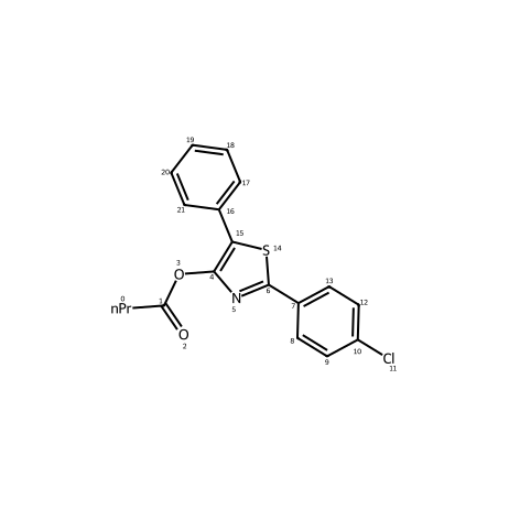 CCCC(=O)Oc1nc(-c2ccc(Cl)cc2)sc1-c1ccccc1